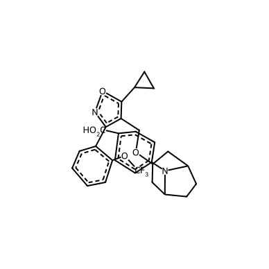 O=C(O)c1ccc(N2C3CCC2CC(OCc2c(-c4ccccc4OC(F)(F)F)noc2C2CC2)C3)cc1